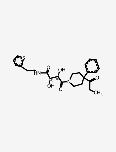 CCC(=O)C1(c2ccccc2)CCN(C(=O)[C@H](O)[C@@H](O)C(=O)NCCc2cccs2)CC1